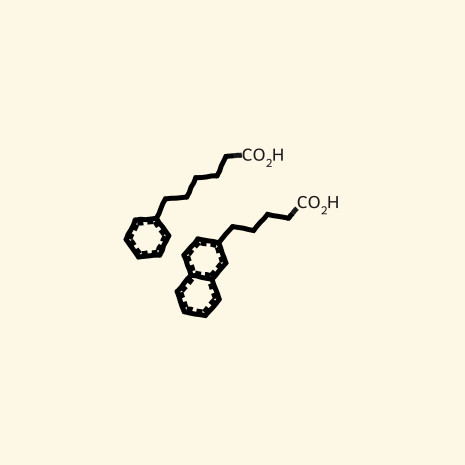 O=C(O)CCCCCc1ccccc1.O=C(O)CCCCc1ccc2ccccc2c1